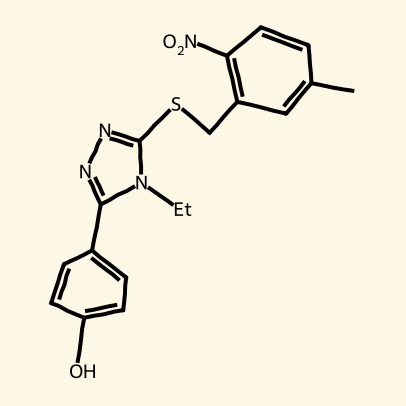 CCn1c(SCc2cc(C)ccc2[N+](=O)[O-])nnc1-c1ccc(O)cc1